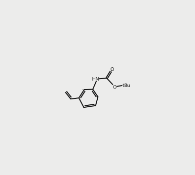 C=Cc1[c]c(NC(=O)OC(C)(C)C)ccc1